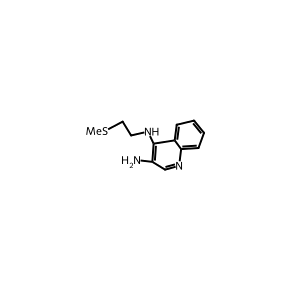 CSCCNc1c(N)cnc2ccccc12